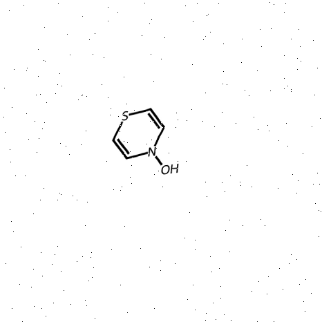 ON1C=CSC=C1